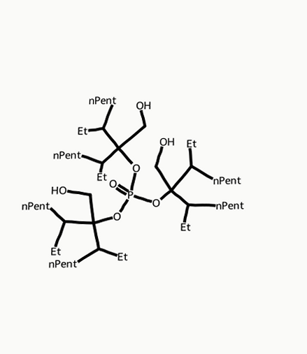 CCCCCC(CC)C(CO)(OP(=O)(OC(CO)(C(CC)CCCCC)C(CC)CCCCC)OC(CO)(C(CC)CCCCC)C(CC)CCCCC)C(CC)CCCCC